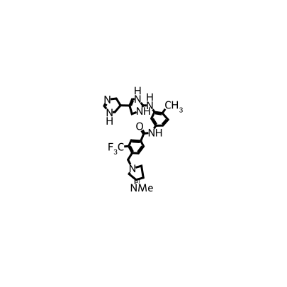 CN[C@H]1CCN(Cc2ccc(C(=O)Nc3ccc(C)c(NC4NC=C(C5CN=CNC5)CN4)c3)cc2C(F)(F)F)C1